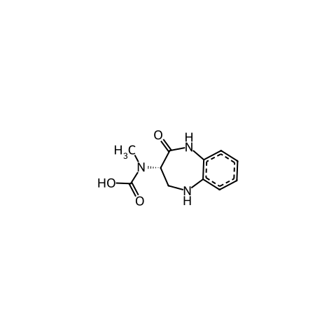 CN(C(=O)O)[C@H]1CNc2ccccc2NC1=O